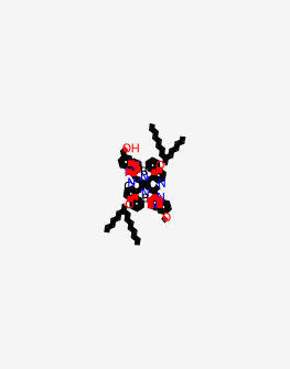 [C-]#[N+]/C(c1cnc2cc(CO)ccc2n1)=c1\c2c(-c3cccc(OCC(CCCCCC)CCCCCCCC)c3)n(B(c3ccccc3)c3ccccc3)/c(=C(/C#N)c3cnc4cc(OC)ccc4n3)c2c(-c2cccc(OCC(CCCCCC)CCCCCCCC)c2)n1B(c1ccccc1)c1ccccc1